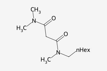 CCCCCCCN(C)C(=O)CC(=O)N(C)C